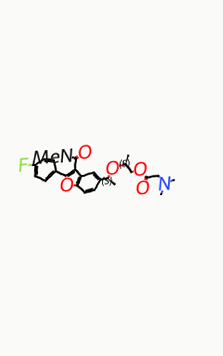 CNC(=O)c1c(-c2ccc(F)cc2)oc2ccc([C@H](C)O[C@@H](C)COC(=O)CN(C)C)cc12